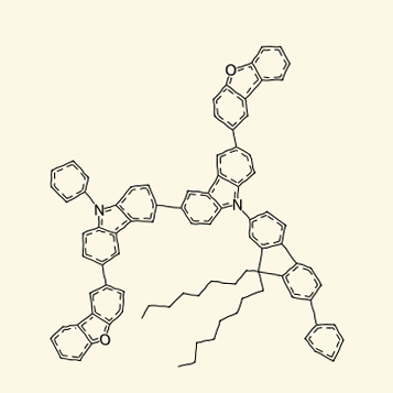 CCCCCCCCC1(CCCCCCCC)c2cc(-c3ccccc3)ccc2-c2ccc(-n3c4ccc(-c5ccc6oc7ccccc7c6c5)cc4c4cc(-c5ccc6c(c5)c5cc(-c7ccc8oc9ccccc9c8c7)ccc5n6-c5ccccc5)ccc43)cc21